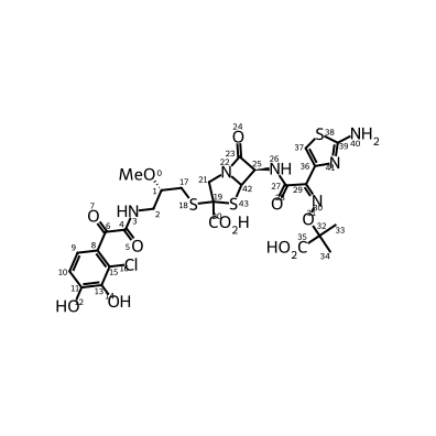 CO[C@@H](CNC(=O)C(=O)c1ccc(O)c(O)c1Cl)CSC1(C(=O)O)CN2C(=O)[C@@H](NC(=O)/C(=N\OC(C)(C)C(=O)O)c3csc(N)n3)C2S1